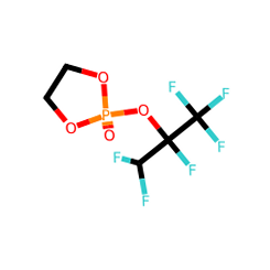 O=P1(OC(F)(C(F)F)C(F)(F)F)OCCO1